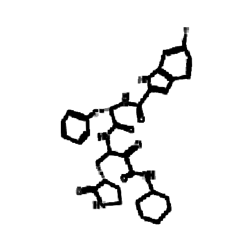 O=C(NC1CCCCC1)C(=O)C(C[C@@H]1CCNC1=O)NC(=O)[C@H](Cc1ccccc1)NC(=O)c1cc2ccc(F)cc2[nH]1